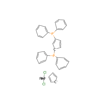 [Cl][Pd][Cl].[Fe+2].c1cc[cH-]c1.c1ccc(P(c2ccccc2)c2cc[c-](P(c3ccccc3)c3ccccc3)c2)cc1